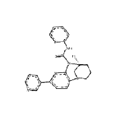 O=C(Nc1ccccn1)N1c2nc(-c3cccnc3)ccc2N2CCC[C@H]1C2